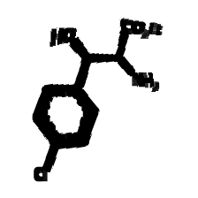 CCOC(=O)C(N)C(O)c1ccc(Cl)cc1